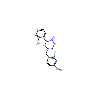 COc1ccc(CN2CCN(C)C(c3ccccc3C(C)C)C2)c(F)c1